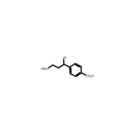 CCCCCCCCCCCC(c1ccc(C(=O)O)cc1)C(C)C